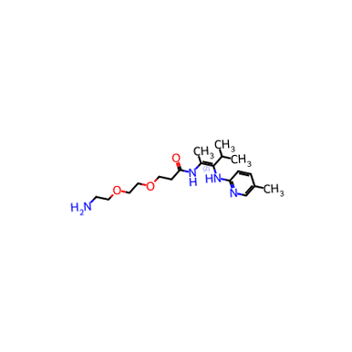 C/C(NC(=O)CCOCCOCCN)=C(/Nc1ccc(C)cn1)C(C)C